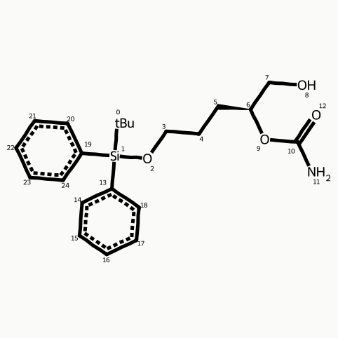 CC(C)(C)[Si](OCCC[C@@H](CO)OC(N)=O)(c1ccccc1)c1ccccc1